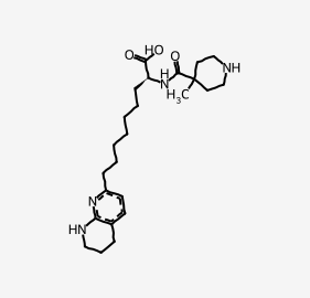 CC1(C(=O)N[C@@H](CCCCCCCc2ccc3c(n2)NCCC3)C(=O)O)CCNCC1